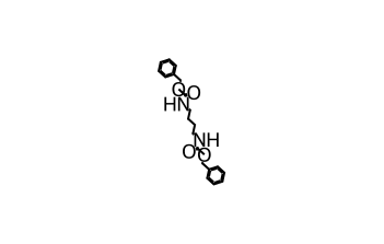 O=C(NCCCCNC(=O)OCc1ccccc1)OCc1ccccc1